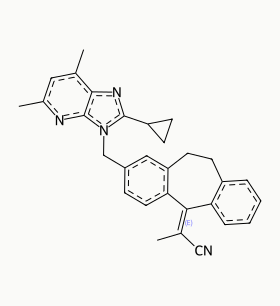 C/C(C#N)=C1/c2ccccc2CCc2cc(Cn3c(C4CC4)nc4c(C)cc(C)nc43)ccc21